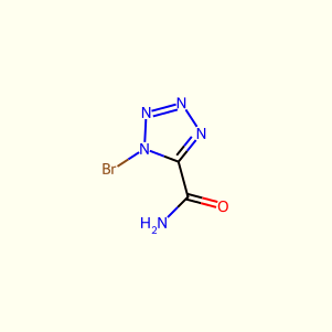 NC(=O)c1nnnn1Br